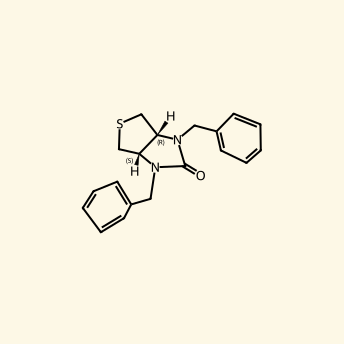 O=C1N(Cc2ccccc2)[C@@H]2CSC[C@@H]2N1Cc1ccccc1